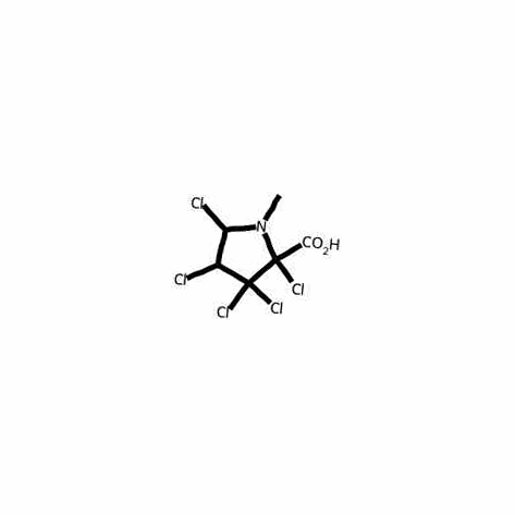 CN1C(Cl)C(Cl)C(Cl)(Cl)C1(Cl)C(=O)O